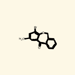 Cc1cc(Br)c2c(c1)C(=O)c1ccccc1CO2